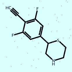 C#Cc1c(F)cc(C2CNCCS2)cc1F